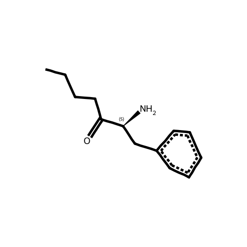 CCCCC(=O)[C@@H](N)Cc1ccccc1